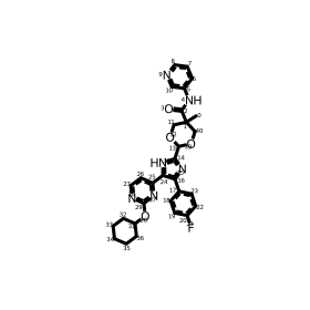 CC1(C(=O)Nc2cccnc2)COC(c2nc(-c3ccc(F)cc3)c(-c3ccnc(OC4CCCCC4)n3)[nH]2)OC1